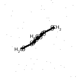 C=CC(=O)OCCCCCCCCOC(=O)Oc1ccc(C(=O)Oc2ccc(OC(=O)c3ccc(OC(=O)OCCCCCCCCOC(=O)C=C)cc3)c(C)c2)cc1